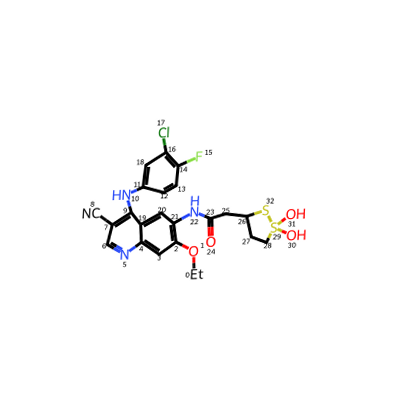 CCOc1cc2ncc(C#N)c(Nc3ccc(F)c(Cl)c3)c2cc1NC(=O)CC1CCS(O)(O)S1